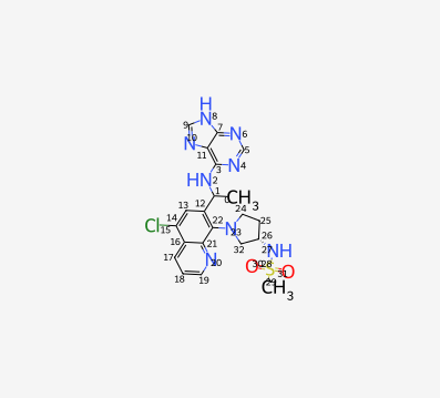 CC(Nc1ncnc2[nH]cnc12)c1cc(Cl)c2cccnc2c1N1CC[C@H](NS(C)(=O)=O)C1